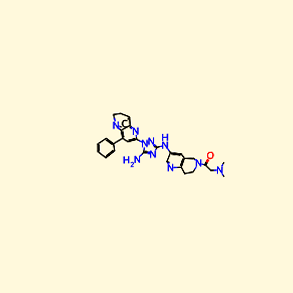 CN(C)CC(=O)N1CCc2ncc(Nc3nc(N)n(-c4cc(-c5ccccc5)c5c(n4)C4CCN5CC4)n3)cc2C1